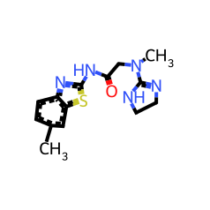 Cc1ccc2nc(NC(=O)CN(C)C3=NCCN3)sc2c1